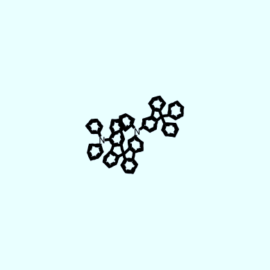 c1ccc(N(c2ccc3c(c2)-c2ccccc2C3(c2ccccc2)c2ccccc2)c2ccc3c(c2)C2(c4ccccc4-3)c3ccccc3-c3c2cc2ccccc2c3N(c2ccccc2)c2ccccc2)cc1